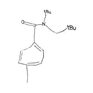 Cc1ccc(C(=O)N(CC(C)(C)C)C(C)(C)C)cc1